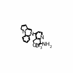 CCc1c(N2C=C3C=CCN3c3ccccc32)ccnc1C(N)=O